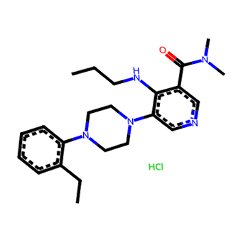 CCCNc1c(C(=O)N(C)C)cncc1N1CCN(c2ccccc2CC)CC1.Cl